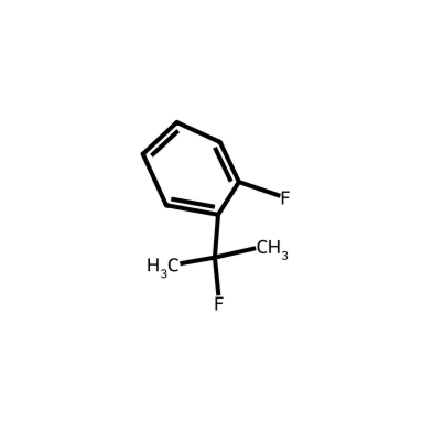 CC(C)(F)c1ccccc1F